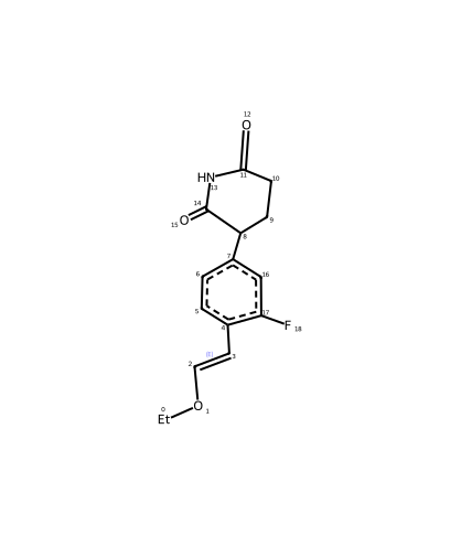 CCO/C=C/c1ccc(C2CCC(=O)NC2=O)cc1F